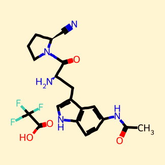 CC(=O)Nc1ccc2[nH]cc(C[C@H](N)C(=O)N3CCC[C@H]3C#N)c2c1.O=C(O)C(F)(F)F